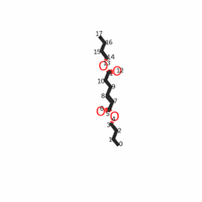 CCCCOC(=O)C=CCCC(=O)OCCCC